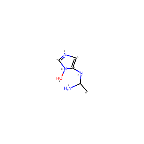 CC(N)Nc1cncn1O